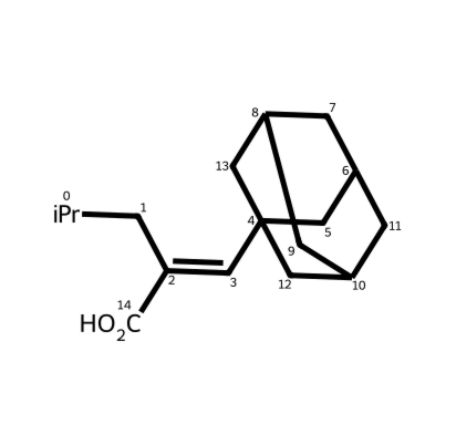 CC(C)CC(=CC12CC3CC(CC(C3)C1)C2)C(=O)O